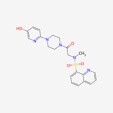 CN(CC(=O)N1CCN(c2ccc(O)cn2)CC1)S(=O)(=O)c1cccc2cccnc12